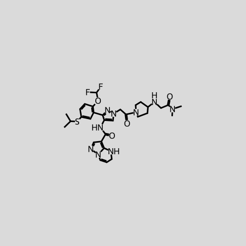 CC(C)Sc1ccc(OC(F)F)c(-c2nn(CC(=O)N3CCC(NCC(=O)N(C)C)CC3)cc2NC(=O)c2cnn3c2NCC=C3)c1